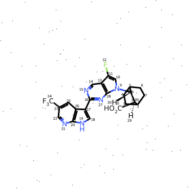 O=C(O)[C@@H]1C2CCC(CC2)[C@H]1n1cc(F)c2cnc(-c3c[nH]c4ncc(C(F)(F)F)cc34)nc21